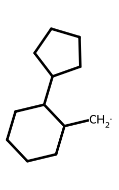 [CH2]C1CCCCC1C1CCCC1